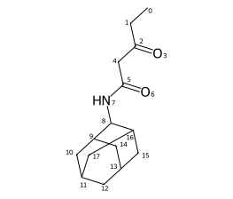 CCC(=O)CC(=O)NC1C2CC3CC(C2)CC1C3